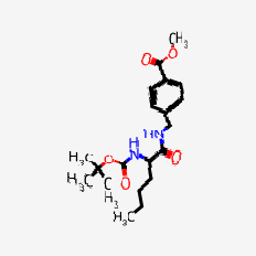 CCCCC(NC(=O)OC(C)(C)C)C(=O)NCc1ccc(C(=O)OC)cc1